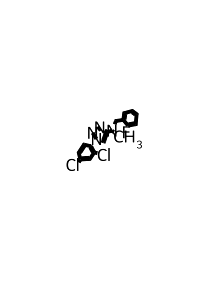 CN(Cc1ccccc1F)c1cn(-c2ccc(Cl)cc2Cl)nn1